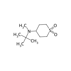 CN(C1CCS(=O)(=O)CC1)C(C)(C)C